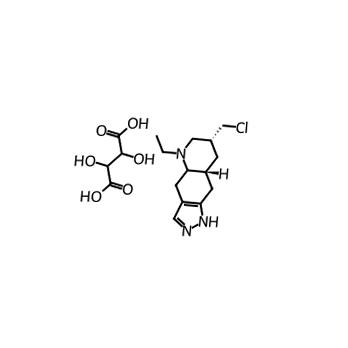 CCN1C[C@H](CCl)C[C@@H]2Cc3[nH]ncc3CC21.O=C(O)C(O)C(O)C(=O)O